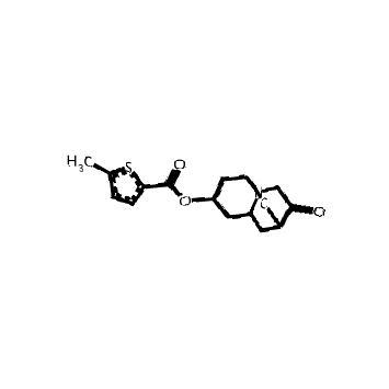 Cc1ccc(C(=O)OC2CC3CC4CC(C2)N3CC4=O)s1